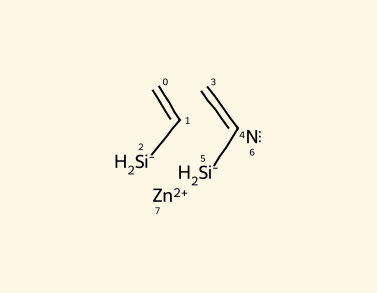 C=C[SiH2-].C=C[SiH2-].[N].[Zn+2]